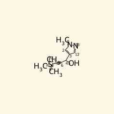 Cn1cc(C(O)C#C[Si](C)(C)C)cn1